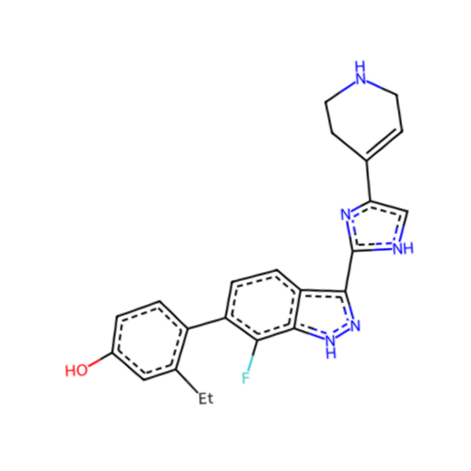 CCc1cc(O)ccc1-c1ccc2c(-c3nc(C4=CCNCC4)c[nH]3)n[nH]c2c1F